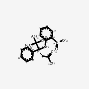 CC(C)(C)[C@@](CC(=O)O)(Nc1ccccc1[N+](=O)[O-])c1ccccc1